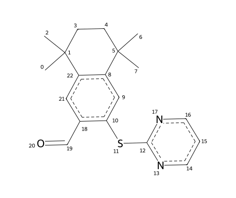 CC1(C)CCC(C)(C)c2cc(Sc3ncccn3)c(C=O)cc21